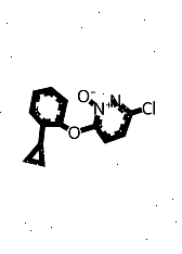 [O-][n+]1nc(Cl)ccc1Oc1ccccc1C1CC1